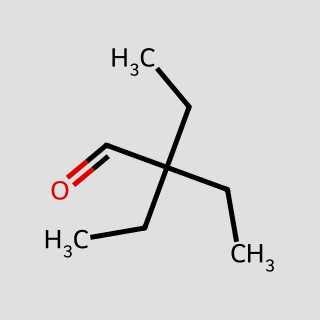 CCC(C=O)(CC)CC